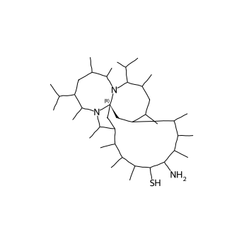 CC(C)C1CC(C)C(C)N2C(C(C)C)C(C)CC(C)C3C[C@]24CC(C(C)C(C)C(C)C(S)C(N)C(C)C(C)C3C)C(C)N4C1C